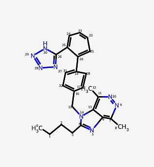 CCCCc1nc2c(C)nnc(C)c2n1Cc1ccc(-c2ccccc2-c2nnn[nH]2)cc1